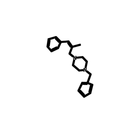 CC(=Cc1ccccc1)CN1CCN(Cc2ccccc2)CC1